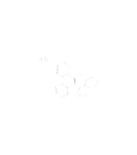 NS(=O)(=O)c1ccc(C2=C(c3ccccc3F)C(C=O)c3ccccc3O2)cc1